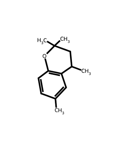 Cc1ccc2c(c1)C(C)CC(C)(C)O2